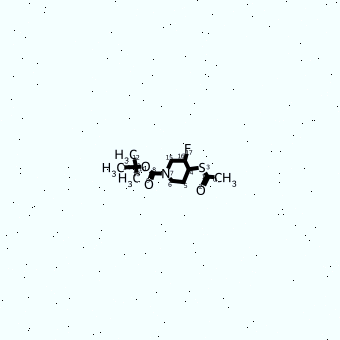 CC(=O)SC1CCN(C(=O)OC(C)(C)C)CC1F